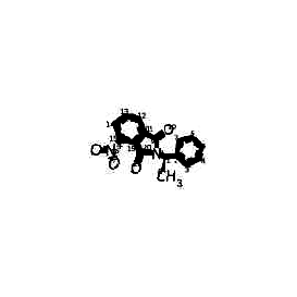 C[C@H](c1ccccc1)N1C(=O)c2cccc([N+](=O)[O-])c2C1=O